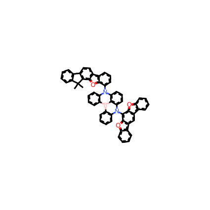 CC1(C)c2ccccc2-c2ccc3c(oc4c(N5c6ccccc6B6c7ccccc7N(c7c8oc9ccccc9c8cc8c7oc7ccccc78)c7cccc5c76)cccc43)c21